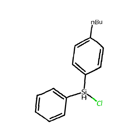 CCCCc1ccc([SiH](Cl)c2ccccc2)cc1